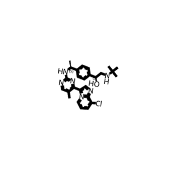 Cc1cnc(N[C@@H](C)c2ccc([C@H](O)CNC(C)(C)C)cc2)nc1-c1cnc2c(Cl)cccn12